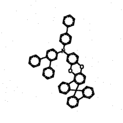 c1ccc(-c2ccc(N(c3ccc4c(c3)Oc3c(ccc5c3-c3ccccc3C53c5ccccc5-c5ccccc53)O4)c3ccc(-c4ccccc4)c(-c4ccccc4)c3)cc2)cc1